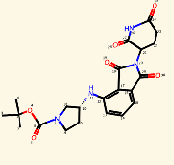 CC(C)(C)OC(=O)N1CC[C@@H](Nc2cccc3c2C(=O)N(C2CCC(=O)NC2=O)C3=O)C1